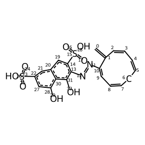 C=C1/C=C\C=C/C\C=C/C=C1/N=N/c1c(S(=O)(=O)O)cc2cc(S(=O)(=O)O)cc(O)c2c1O